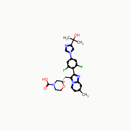 Cc1ccn2c(C[C@H]3CN(C(=O)O)CCO3)c(-c3c(F)cc(-n4cnc(C(C)(C)O)c4)cc3F)nc2c1